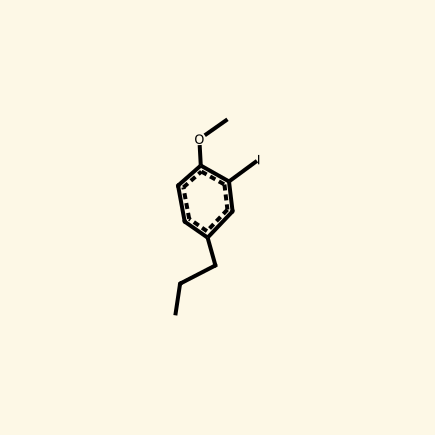 CCCc1ccc(OC)c(I)c1